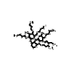 CCCCOCC1OCCC(OC2OC(COCCCC)C(OCCCC)C(O)C2OCCCC)C1OC1=CC(OCCCC)C(OCCCC)C(C)O1